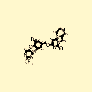 O=c1nc(OCc2cc(F)c(Oc3cnc(C(F)(F)F)nc3)c(F)c2)cc2n1CC1COCCN21